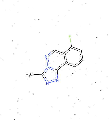 Cc1nnc2c3cccc(F)c3cnn12